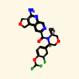 C[C@H]1COC[C@@H](C2=CC=C(OC(F)F)C(F)C2)N1C(=O)c1cc2c3c(c(N)nc2cn1)COC3